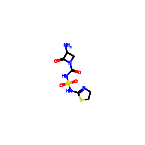 NC1CN(C(=O)NS(=O)(=O)NC2=NCCS2)C1=O